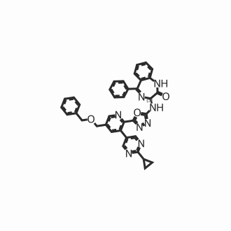 O=C1Nc2ccccc2C(c2ccccc2)=N[C@@H]1Nc1nnc(-c2ncc(COCc3ccccc3)cc2-c2cnc(C3CC3)nc2)o1